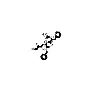 CC(=O)N[C@@H](Cc1ccccn1)C(=O)N[C@@H](CCC(=O)C=N)C(=O)NCc1ccccc1